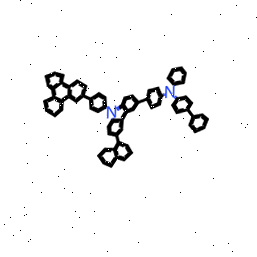 c1ccc(-c2ccc(N(c3ccccc3)c3ccc(-c4ccc5c(c4)c4cc(-c6cccc7ccccc67)ccc4n5-c4ccc(-c5ccc6c7ccccc7c7ccccc7c6c5)cc4)cc3)cc2)cc1